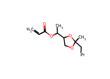 C=CC(=O)OC(C)C1COC(C)(CC(C)C)O1